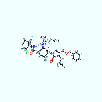 CCCC(C)Nc1cc(-n2nc(COCc3ccccc3)n(CC)c2=O)c(F)cc1C(=O)Nc1c(F)cccc1Cl